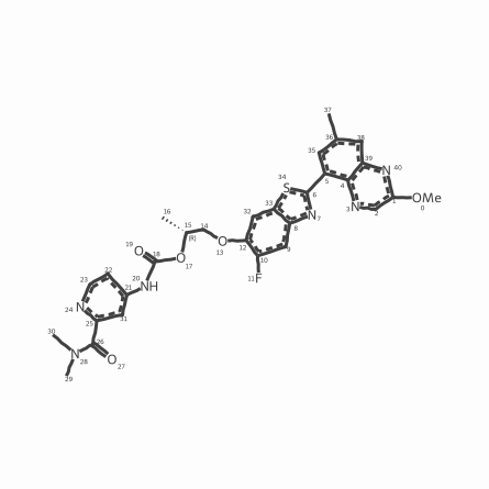 COc1cnc2c(-c3nc4cc(F)c(OC[C@@H](C)OC(=O)Nc5ccnc(C(=O)N(C)C)c5)cc4s3)cc(C)cc2n1